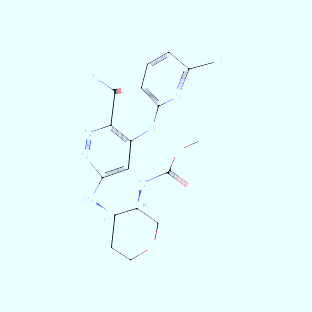 CC(C)(C)OC(=O)N[C@H]1COCC[C@H]1Nc1cc(Nc2cccc(C(C)(C)C)n2)c(C(N)=O)nn1